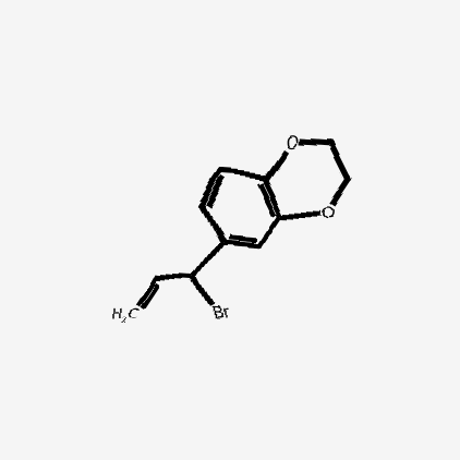 C=CC(Br)c1ccc2c(c1)OCCO2